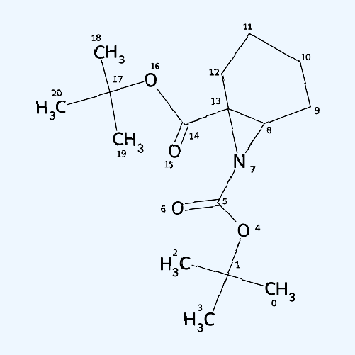 CC(C)(C)OC(=O)N1C2CCCCC21C(=O)OC(C)(C)C